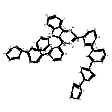 c1ccc(-c2ccc(-c3cccc(-c4cccc(-c5nc(-c6cccc(-c7ccc(-c8ccccc8)cc7)c6)c6c(n5)c5ccccc5n6-c5ccccc5)c4)c3)cc2)cc1